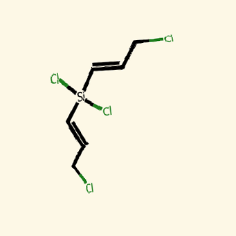 ClCC=C[Si](Cl)(Cl)C=CCCl